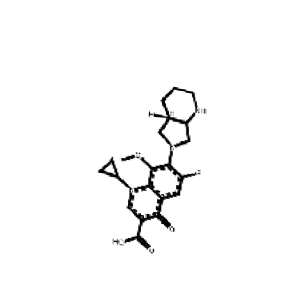 COc1c(N2CC3NCCC[C@H]3C2)c(F)cc2c(=O)c(C(=O)O)cn(C3CC3)c12